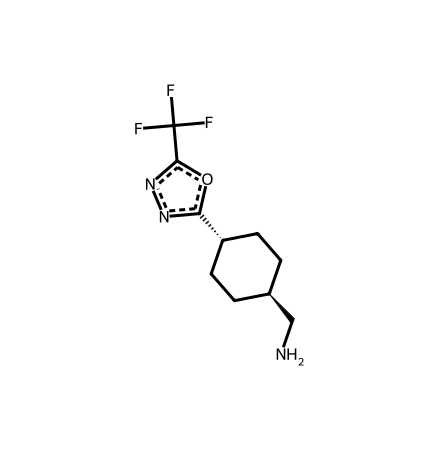 NC[C@H]1CC[C@H](c2nnc(C(F)(F)F)o2)CC1